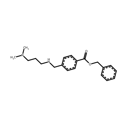 CN(C)CCCNCc1ccc(C(=O)OCc2ccccc2)cc1